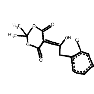 CC1(C)OC(=O)C(=C(O)Cc2ccccc2Cl)C(=O)O1